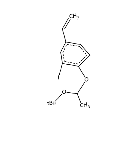 C=Cc1ccc(OC(C)OC(C)(C)C)c(I)c1